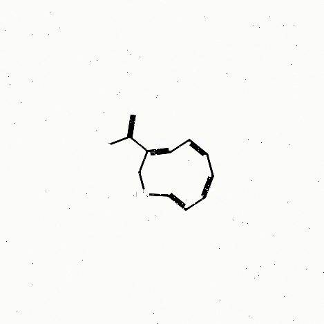 C=C(I)\C1=C/C=C\C=C/C=C/NC1